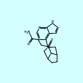 NC(=O)CCC(=O)N1C2CCC1CN(c1ncnc3[nH]ccc13)C2